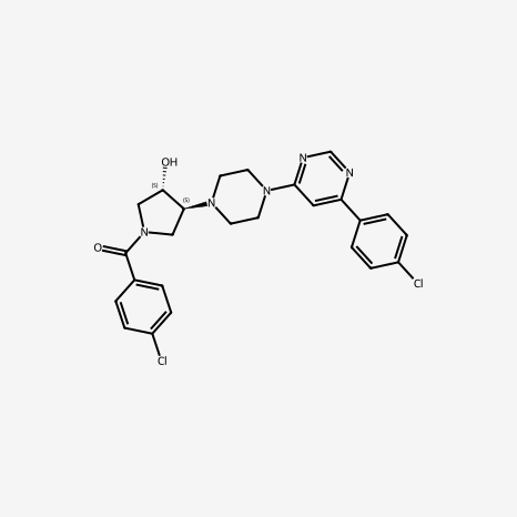 O=C(c1ccc(Cl)cc1)N1C[C@H](O)[C@@H](N2CCN(c3cc(-c4ccc(Cl)cc4)ncn3)CC2)C1